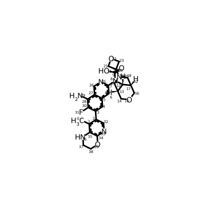 Cc1c(-c2cc3cc(N(C(=O)O)[C@H]4[C@@H]5COC[C@H]4CN(C4COC4)C5)ncc3c(N)c2F)cnc2c1NCCO2